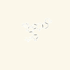 Cn1nccc1-c1cnc(N)n2cc(Cc3c(F)ccc4c3CCO4)nc12